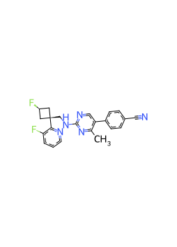 Cc1nc(NC[C@]2(c3ncccc3F)C[C@H](F)C2)ncc1-c1ccc(C#N)cc1